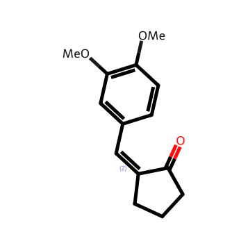 COc1ccc(/C=C2/CCCC2=O)cc1OC